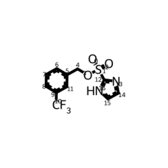 O=S(=O)(OCc1cccc(C(F)(F)F)c1)c1ncc[nH]1